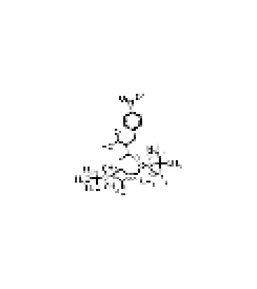 C[C@@H](O[Si](C)(C)C(C)(C)C)[C@H]1C(=O)N([Si](C)(C)C(C)(C)C)[C@@H]1CC(O)C(Cc1ccc([N+](=O)[O-])cc1)C(=O)O